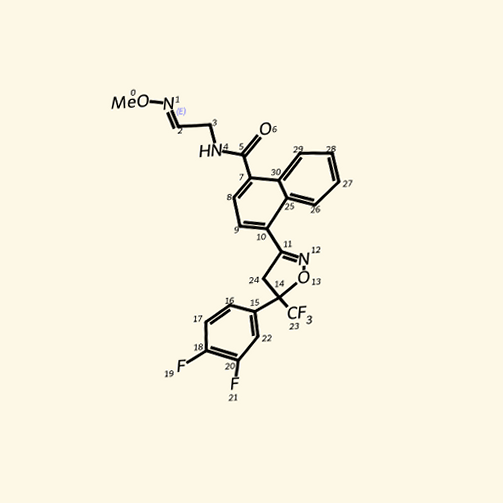 CO/N=C/CNC(=O)c1ccc(C2=NOC(c3ccc(F)c(F)c3)(C(F)(F)F)C2)c2ccccc12